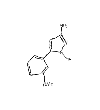 COc1cccc(-c2cc(N)nn2C(C)C)c1